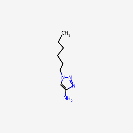 CCCCCCn1cc(N)nn1